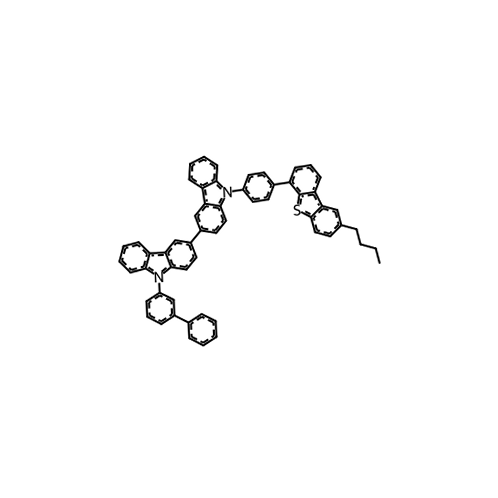 CCCCc1ccc2sc3c(-c4ccc(-n5c6ccccc6c6cc(-c7ccc8c(c7)c7ccccc7n8-c7cccc(-c8ccccc8)c7)ccc65)cc4)cccc3c2c1